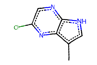 Cc1c[nH]c2ncc(Cl)nc12